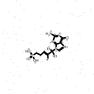 CCC(CC)(C(F)=CCCP(=O)(O)O)n1cnc2c(Cl)nc(N)nc21